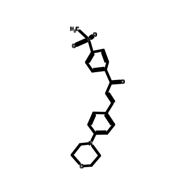 CS(=O)(=O)c1ccc(C(=O)/C=C/c2ccc(N3CCOCC3)cc2)cc1